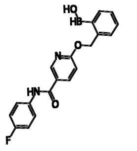 O=C(Nc1ccc(F)cc1)c1ccc(OCc2ccccc2BO)nc1